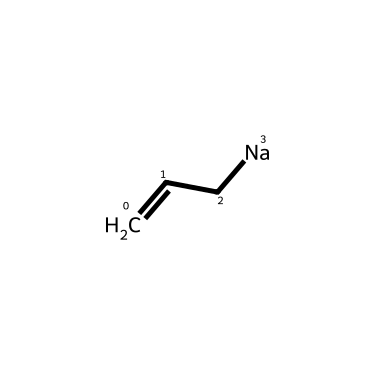 C=C[CH2][Na]